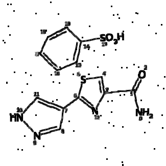 NC(=O)c1csc(-c2cn[nH]c2)n1.O=S(=O)(O)c1ccccc1